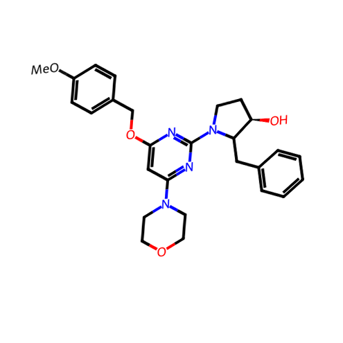 COc1ccc(COc2cc(N3CCOCC3)nc(N3CC[C@@H](O)C3Cc3ccccc3)n2)cc1